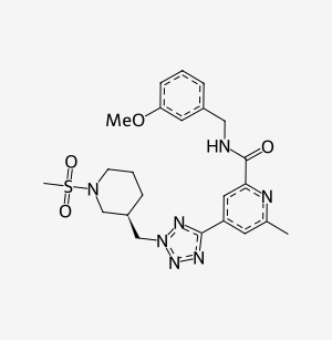 COc1cccc(CNC(=O)c2cc(-c3nnn(C[C@@H]4CCCN(S(C)(=O)=O)C4)n3)cc(C)n2)c1